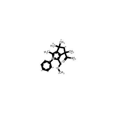 COCc1c2c(c(C)n1-c1ccccc1)C(C)(C)CC2(C)C(N)=O